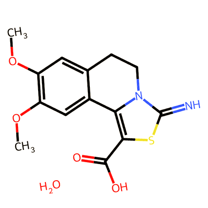 COc1cc2c(cc1OC)-c1c(C(=O)O)sc(=N)n1CC2.O